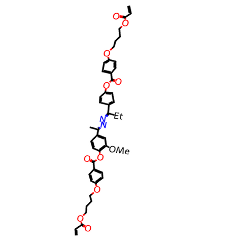 C=CC(=O)OCCCCOc1ccc(C(=O)Oc2ccc(/C(CC)=N/N=C(\C)c3ccc(OC(=O)c4ccc(OCCCCOC(=O)C=C)cc4)c(OC)c3)cc2)cc1